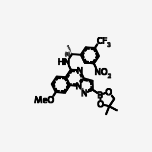 COc1ccc2c(N[C@H](C)c3cc([N+](=O)[O-])cc(C(F)(F)F)c3)nc3cc(B4OCC(C)(C)O4)nn3c2c1